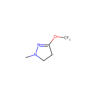 CN1C[C]C(OC(F)(F)F)=N1